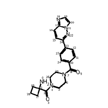 NC1(C(=O)N2CCN(C(=O)c3ccc(-c4ccc5nccn5n4)cc3)CC2)CCC1